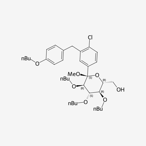 CCCCOc1ccc(Cc2cc([C@]3(OC)O[C@H](CO)[C@@H](OCCCC)[C@H](OCCCC)[C@H]3OCCCC)ccc2Cl)cc1